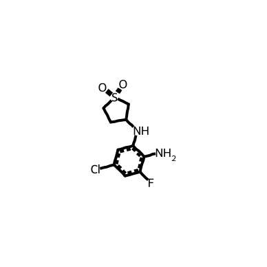 Nc1c(F)cc(Cl)cc1NC1CCS(=O)(=O)C1